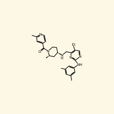 CCc1cnc(Nc2cc(C)cc(C)c2)nc1CN[C@@H]1CCN(C(=O)c2ccnc(C)c2)[C@H](C)C1